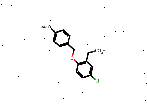 COc1ccc(COc2ccc(Cl)cc2CC(=O)O)cc1